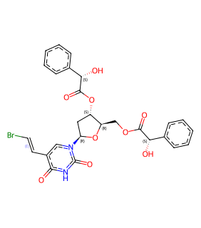 O=C(OC[C@H]1O[C@@H](n2cc(/C=C/Br)c(=O)[nH]c2=O)C[C@@H]1OC(=O)[C@@H](O)c1ccccc1)[C@@H](O)c1ccccc1